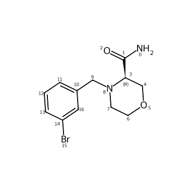 NC(=O)[C@H]1COCCN1Cc1cccc(Br)c1